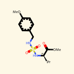 COC(=O)[C@H](NS(=O)(=O)NCc1ccc(OC)cc1)C(C)C